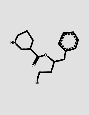 O=C(OC(CCBr)Cc1ccccc1)C1CCCNC1